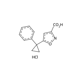 Cl.O=C(O)c1cc(C2(c3ccccc3)CC2)on1